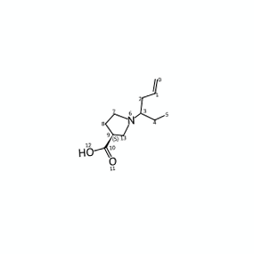 C=CCC(CC)N1CC[C@H](C(=O)O)C1